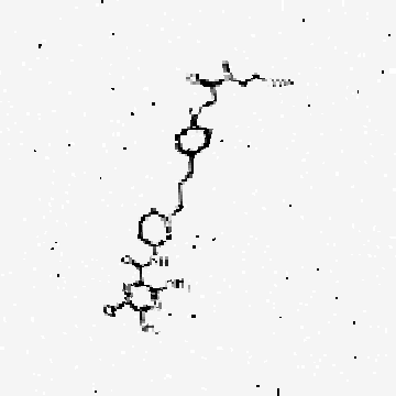 COCCN(C)C(=O)COc1ccc(CCCN2CCC[C@H](NC(=O)c3nc(Cl)c(N)nc3N)C2)cc1